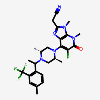 Cc1ccc(C(C)N2C[C@H](C)N(c3c(F)c(=O)n(C)c4c3nc(CC#N)n4C)C[C@H]2C)c(C(F)(F)F)c1